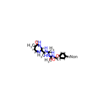 CCCCCCCCCc1ccc(OC(O)(CC)NC(C)NC(C)NC(C)C2CNC(=O)C(C)CC=N2)cc1